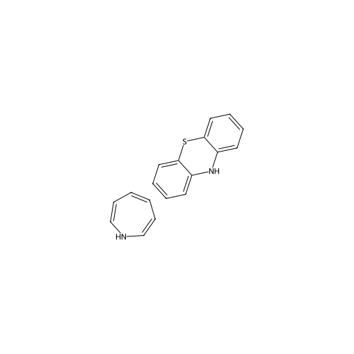 C1=CC=CNC=C1.c1ccc2c(c1)Nc1ccccc1S2